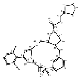 Cc1cccc(C)c1-c1cc2nc(n1)NS(=O)(=O)c1cccc(c1)CC1CCN(C(=O)CCN3CCCC3)CC1CO2